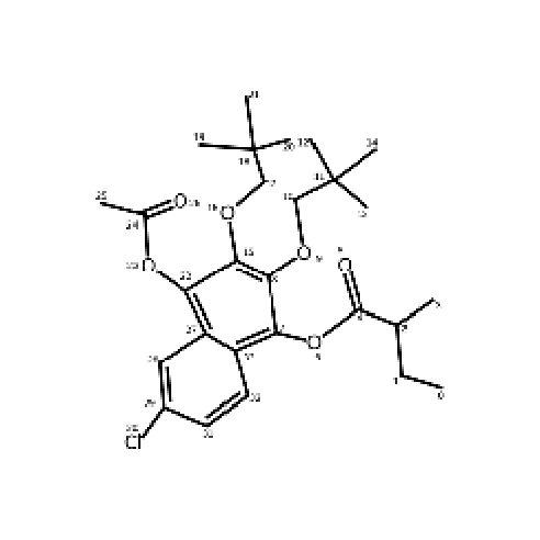 CCC(C)C(=O)Oc1c(OCC(C)(C)C)c(OCC(C)(C)C)c(OC(C)=O)c2cc(Cl)ccc12